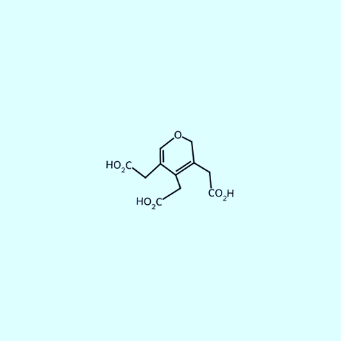 O=C(O)CC1=COCC(CC(=O)O)=C1CC(=O)O